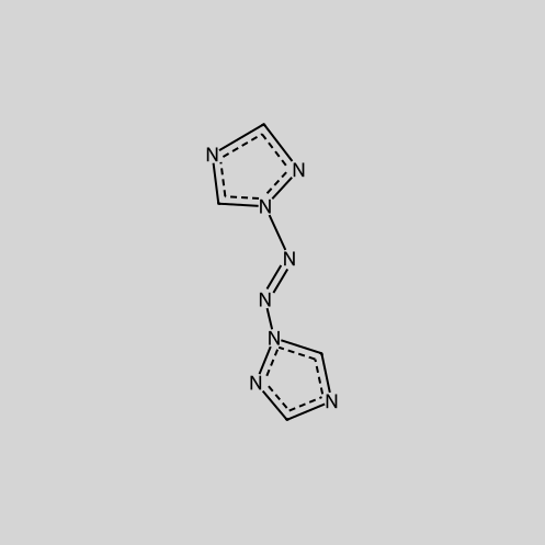 c1ncn(/N=N/n2cncn2)n1